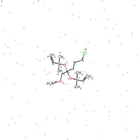 C=C[Si](C)(C)OC(CCCCl)(CO[SiH3])O[Si](C)(C)C=C